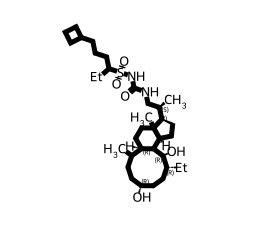 CCC(CCCC1CCC1)S(=O)(=O)NC(=O)NC[C@@H](C)[C@H]1CC[C@H]2C3[C@H](CCC12C)C(C)CC[C@@H](O)CC[C@@H](CC)[C@H]3O